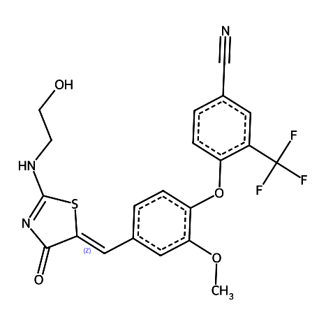 COc1cc(/C=C2\SC(NCCO)=NC2=O)ccc1Oc1ccc(C#N)cc1C(F)(F)F